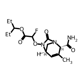 CCC(CC)OC(=O)C(F)ON1C(=O)N2C[C@H]1C=C(C)[C@H]2C(N)=O